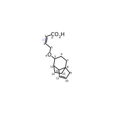 O=C(O)/C=C\COC1CCC23CC=CC2C1CC3